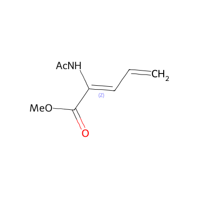 C=C/C=C(\NC(C)=O)C(=O)OC